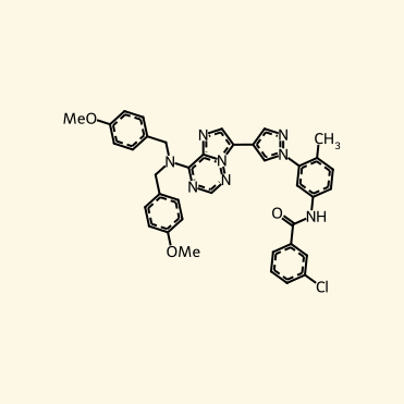 COc1ccc(CN(Cc2ccc(OC)cc2)c2ncnn3c(-c4cnn(-c5cc(NC(=O)c6cccc(Cl)c6)ccc5C)c4)cnc23)cc1